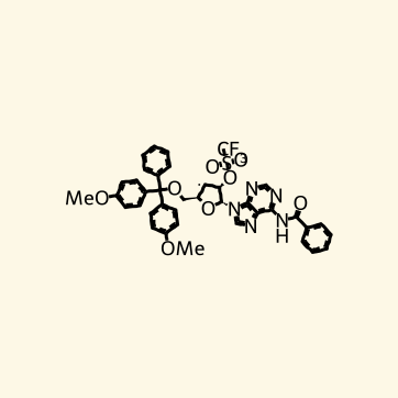 COc1ccc(C(OC[C@H]2[CH][C@@H](OS(=O)(=O)C(F)(F)F)[C@H](n3cnc4c(NC(=O)c5ccccc5)ncnc43)O2)(c2ccccc2)c2ccc(OC)cc2)cc1